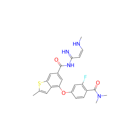 CN/C=C\C(=N)NC(=O)c1cc(Oc2ccc(C(=O)N(C)C)c(F)c2)c2cc(C)sc2c1